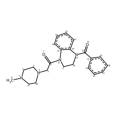 CN1CCN(CC(=O)N2CCN(C(=O)c3ccccc3)c3ccccc32)CC1